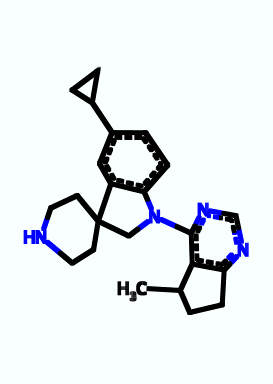 CC1CCc2ncnc(N3CC4(CCNCC4)c4cc(C5CC5)ccc43)c21